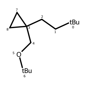 CC(C)(C)CCC1(COC(C)(C)C)CC1